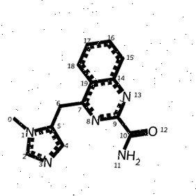 Cn1cncc1Cc1nc(C(N)=O)nc2ccccc12